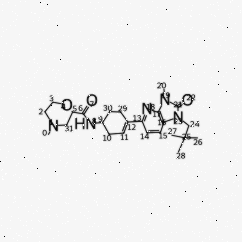 CN1CCOC(C(=O)NC2CC=C(c3ccc4c(n3)n(C)c(=O)n4CC(C)(C)C)CC2)C1